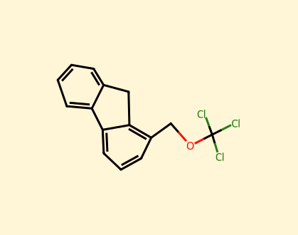 ClC(Cl)(Cl)OCc1cccc2c1Cc1ccccc1-2